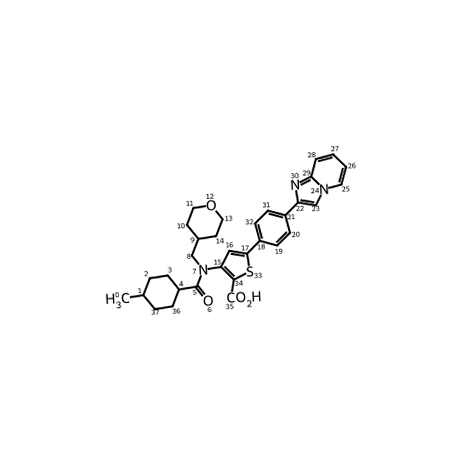 CC1CCC(C(=O)N(CC2CCOCC2)c2cc(-c3ccc(-c4cn5ccccc5n4)cc3)sc2C(=O)O)CC1